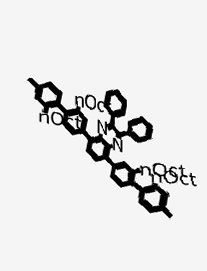 CCCCCCCCc1cc(C)ccc1-c1ccc(-c2ccc(-c3ccc(-c4ccc(C)cc4CCCCCCCC)c(CCCCCCCC)c3)c3nc(-c4ccccc4)c(-c4ccccc4)nc23)cc1CCCCCCCC